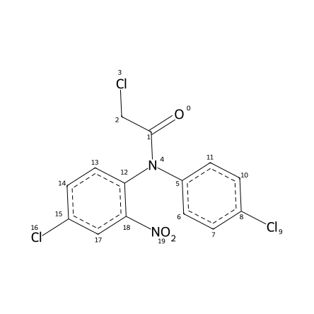 O=C(CCl)N(c1ccc(Cl)cc1)c1ccc(Cl)cc1[N+](=O)[O-]